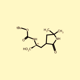 CC1(C)CC(C[C@H](NC(=O)OC(C)(C)C)C(=O)O)C(=O)N1